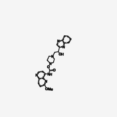 COc1ccc2nccc(NC(=O)ON3CCN(CC(O)c4cnc5ccccc5n4)CC3)c2n1